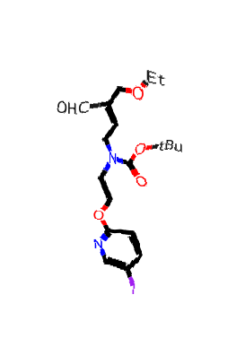 CCOC/C(C=O)=C/CN(CCOc1ccc(I)cn1)C(=O)OC(C)(C)C